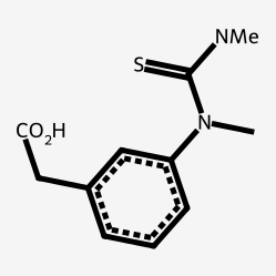 CNC(=S)N(C)c1cccc(CC(=O)O)c1